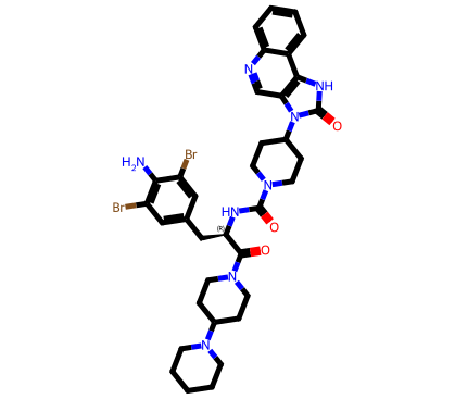 Nc1c(Br)cc(C[C@@H](NC(=O)N2CCC(n3c(=O)[nH]c4c5ccccc5ncc43)CC2)C(=O)N2CCC(N3CCCCC3)CC2)cc1Br